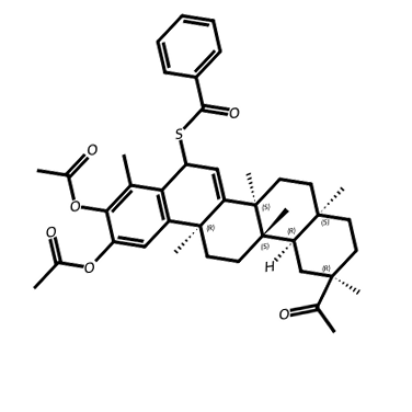 CC(=O)Oc1cc2c(c(C)c1OC(C)=O)C(SC(=O)c1ccccc1)C=C1[C@@]2(C)CC[C@@]2(C)[C@@H]3C[C@](C)(C(C)=O)CC[C@]3(C)CC[C@]12C